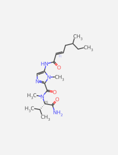 CCC(C)C/C=C/C(=O)Nc1cnc(C(=O)N(C)[C@H](C(N)=O)C(C)C)n1C